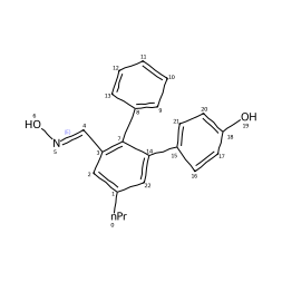 CCCc1cc(/C=N/O)c(-c2ccccc2)c(-c2ccc(O)cc2)c1